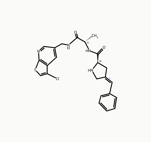 C[C@H](NC(=O)[C@H]1C/C(=C/c2ccccc2)CN1)C(=O)NCc1cnc2scc(Cl)c2c1